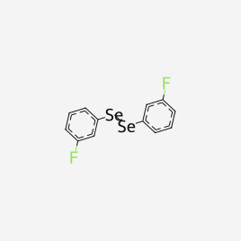 Fc1cccc([Se][Se]c2cccc(F)c2)c1